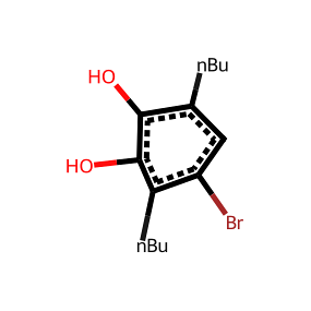 CCCCc1cc(Br)c(CCCC)c(O)c1O